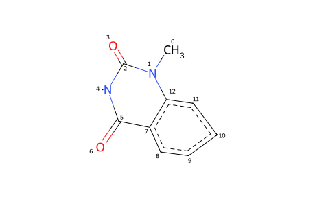 CN1C(=O)[N]C(=O)c2ccccc21